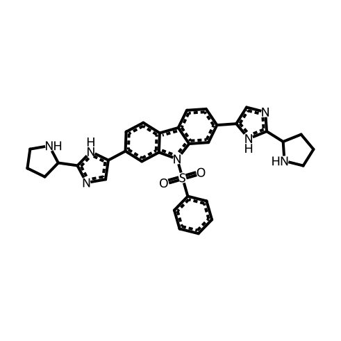 O=S(=O)(c1ccccc1)n1c2cc(-c3cnc(C4CCCN4)[nH]3)ccc2c2ccc(-c3cnc(C4CCCN4)[nH]3)cc21